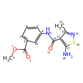 COC(=O)c1cccc(NC(=O)c2c(C)nsc2N)c1